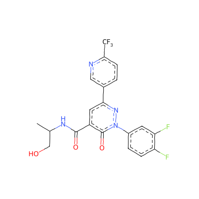 CC(CO)NC(=O)c1cc(-c2ccc(C(F)(F)F)nc2)nn(-c2ccc(F)c(F)c2)c1=O